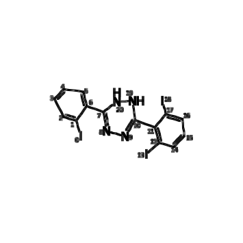 Ic1ccccc1C1=NN=C(c2c(I)cccc2I)NN1